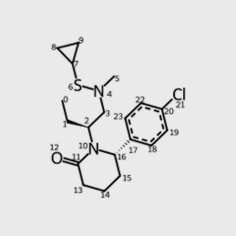 CC[C@@H](CN(C)SC1CC1)N1C(=O)CCC[C@H]1c1ccc(Cl)cc1